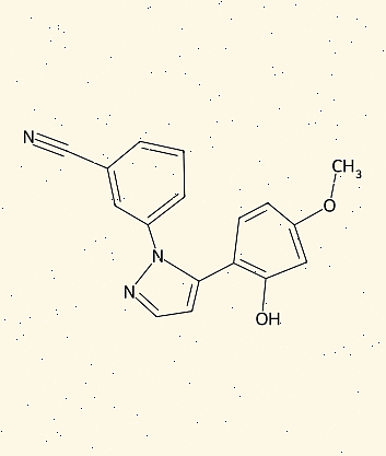 COc1ccc(-c2ccnn2-c2cccc(C#N)c2)c(O)c1